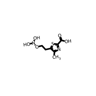 Cc1nc(C(=O)O)sc1CCON(O)O